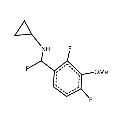 COc1c(F)ccc(C(F)NC2CC2)c1F